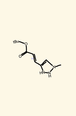 CN1C=C(/C=C/C(=O)OC(C)(C)C)NN1